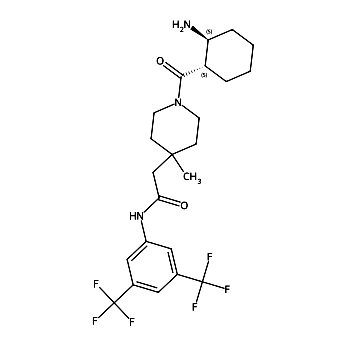 CC1(CC(=O)Nc2cc(C(F)(F)F)cc(C(F)(F)F)c2)CCN(C(=O)[C@H]2CCCC[C@@H]2N)CC1